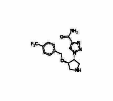 NC(=O)c1cn([C@@H]2CNC[C@H]2OCc2ccc(C(F)(F)F)cc2)nn1